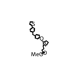 COC(=O)CCCN1CCC[C@@H]1COc1ccc(Cc2ccc(-c3cccs3)cc2)cc1